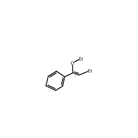 CC/C=C(\OCC)c1ccccc1